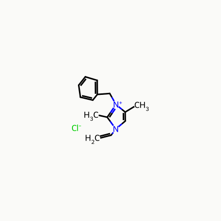 C=Cn1cc(C)[n+](Cc2ccccc2)c1C.[Cl-]